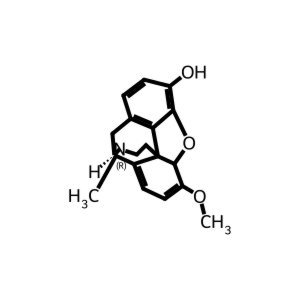 COC1=CC=C2[C@H]3Cc4ccc(O)c5c4C2(CCN3C)C1O5